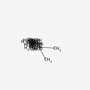 CCCCCCCCCCCCC/C=C/[C@@H](O)[C@H](CO[C@@H]1OC(CO)[C@@H](O[C@@H]2OC(CO)[C@H](O)[C@H](O[C@@H]3OC(CO)[C@@H](O[C@H]4OC(C)[C@@H](O)C(O)[C@@H]4O)[C@H](O[C@@H]4OC(CO)[C@H](O)[C@H](O)C4O[C@H]4OC(C)[C@@H](O)C(O)[C@@H]4O)C3NC(C)=O)C2O)[C@H](O)C1O)NC(=O)CCCCCCCCCCCCCCCCC